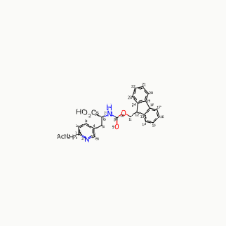 CC(=O)Nc1ccc(C[C@H](NC(=O)OCC2c3ccccc3-c3ccccc32)C(=O)O)cn1